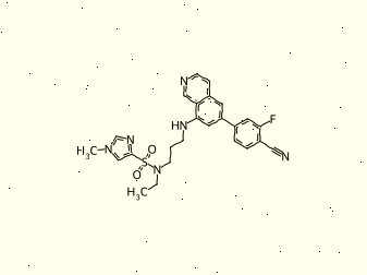 CCN(CCCNc1cc(-c2ccc(C#N)c(F)c2)cc2ccncc12)S(=O)(=O)c1cn(C)cn1